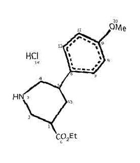 CCOC(=O)C1CNCC(c2ccc(OC)cc2)C1.Cl